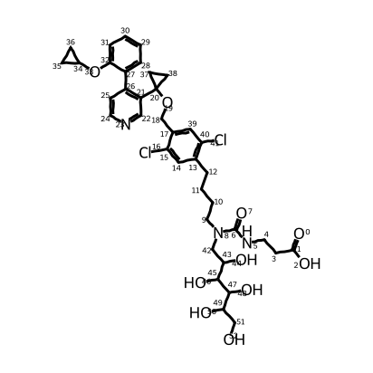 O=C(O)CCNC(=O)N(CCCCc1cc(Cl)c(COC2(c3cnccc3-c3ccccc3OC3CC3)CC2)cc1Cl)CC(O)C(O)C(O)C(O)CO